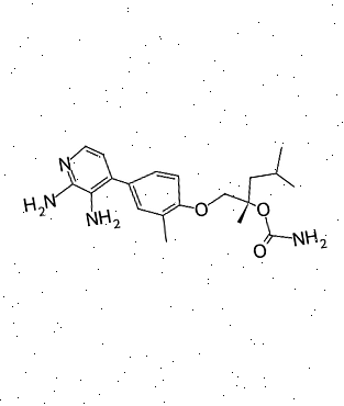 Cc1cc(-c2ccnc(N)c2N)ccc1OC[C@](C)(CC(C)C)OC(N)=O